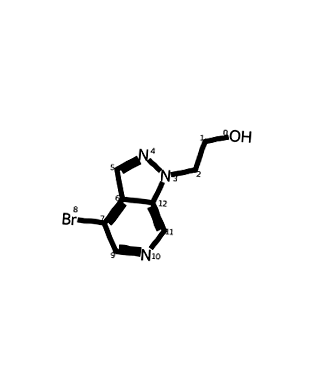 OCCn1ncc2c(Br)cncc21